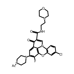 CC(=O)N1CCN(c2cc3c(=O)c(C(=O)NCCN4CCOCC4)cn4c3c(c2F)Oc2cc(Cl)ccc2-4)CC1